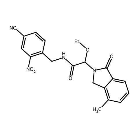 CCOC(C(=O)NCc1ccc(C#N)cc1[N+](=O)[O-])N1Cc2c(C)cccc2C1=O